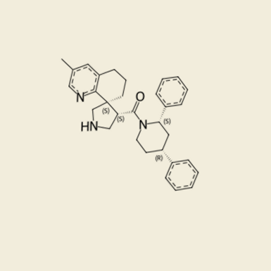 Cc1cnc2c(c1)CCC[C@]21CNC[C@H]1C(=O)N1CC[C@@H](c2ccccc2)C[C@H]1c1ccccc1